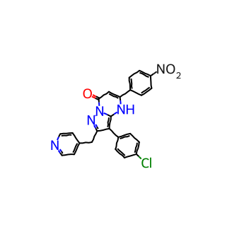 O=c1cc(-c2ccc([N+](=O)[O-])cc2)[nH]c2c(-c3ccc(Cl)cc3)c(Cc3ccncc3)nn12